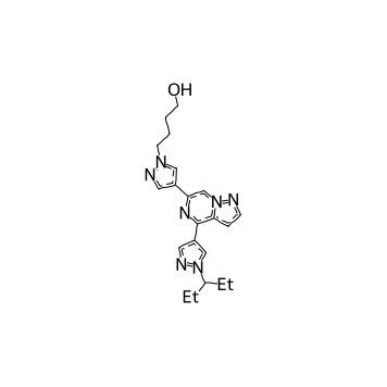 CCC(CC)n1cc(-c2nc(-c3cnn(CCCCO)c3)cn3nccc23)cn1